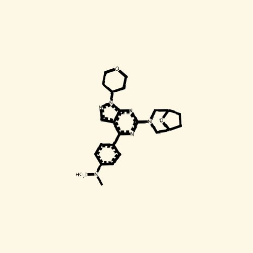 CN(C(=O)O)c1ccc(-c2nc(N3CC4CCC(C3)O4)nc3c2cnn3C2CCOCC2)cc1